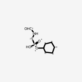 O=CNSP(=O)(O)OC1CCCCC1